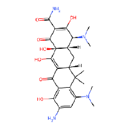 CN(C)c1cc(N)c(O)c2c1C(C)(C)[C@H]1C[C@H]3[C@H](N(C)C)C(O)=C(C(N)=O)C(=O)[C@@]3(O)C(O)=C1C2=O